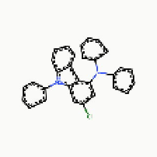 Clc1cc(N(c2ccccc2)c2ccccc2)c2c3ccccc3n(-c3ccccc3)c2c1